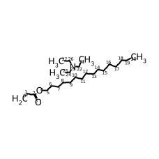 C=CC(=O)OCCCCCCCCCCCCCCCC.CCN(CC)CC